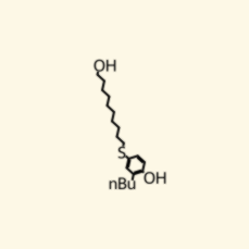 CCCCc1cc(SCCCCCCCCCCO)ccc1O